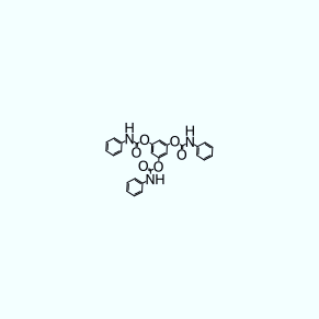 O=C(Nc1ccccc1)Oc1cc(OC(=O)Nc2ccccc2)cc(OC(=O)Nc2ccccc2)c1